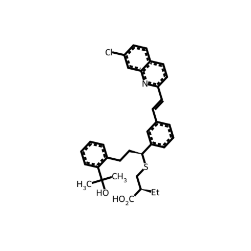 CC[C@H](CS[C@@H](CCc1ccccc1C(C)(C)O)c1cccc(C=Cc2ccc3ccc(Cl)cc3n2)c1)C(=O)O